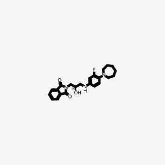 O=C1c2ccccc2C(=O)N1C[C@H](O)CNc1ccc(N2CCCCCC2)c(F)c1